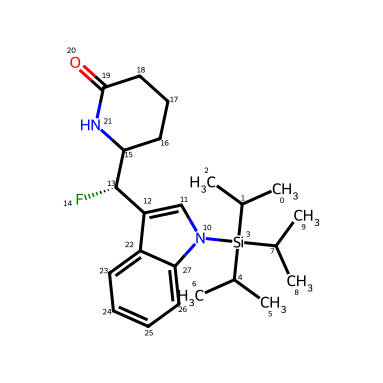 CC(C)[Si](C(C)C)(C(C)C)n1cc([C@H](F)C2CCCC(=O)N2)c2ccccc21